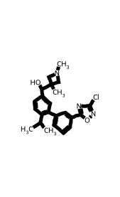 CC(C)c1ccc(C(O)C2(C)CN(C)C2)cc1-c1cccc(-c2nc(Cl)no2)c1